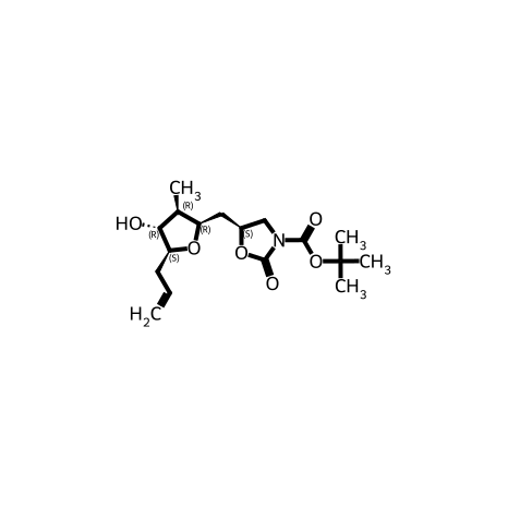 C=CC[C@@H]1O[C@H](C[C@H]2CN(C(=O)OC(C)(C)C)C(=O)O2)[C@H](C)[C@H]1O